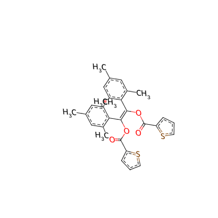 Cc1cc(C)c(C(OC(=O)c2cccs2)=C(OC(=O)c2cccs2)c2c(C)cc(C)cc2C)c(C)c1